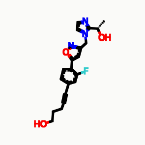 C[C@H](O)c1nccn1Cc1cc(-c2ccc(C#CCCCO)cc2F)on1